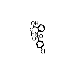 O=C(O)c1ccccc1NS(=O)(=O)c1ccc(Cl)cc1